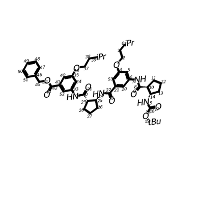 CC(C)CCOc1cc(NC(=O)[C@H]2CCC[C@@H]2NC(=O)OC(C)(C)C)cc(C(=O)N[C@H]2CCC[C@@H]2C(=O)Nc2cc(OCCC(C)C)cc(C(=O)OCc3ccccc3)c2)c1